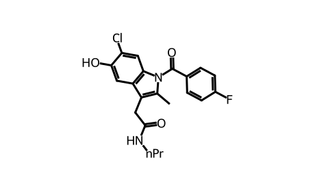 CCCNC(=O)Cc1c(C)n(C(=O)c2ccc(F)cc2)c2cc(Cl)c(O)cc12